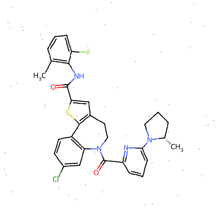 Cc1cccc(F)c1NC(=O)c1cc2c(s1)-c1ccc(Cl)cc1N(C(=O)c1cccc(N3CCC[C@@H]3C)n1)CC2